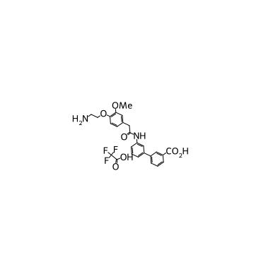 COc1cc(CC(=O)Nc2cccc(-c3cccc(C(=O)O)c3)c2)ccc1OCCN.O=C(O)C(F)(F)F